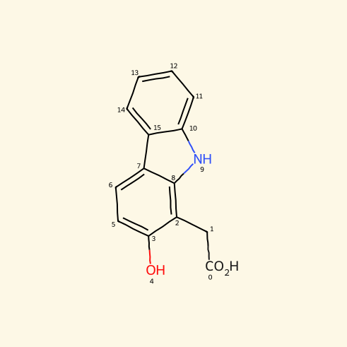 O=C(O)Cc1c(O)ccc2c1[nH]c1ccccc12